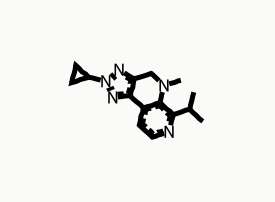 CC(C)c1nccc2c1N(C)Cc1nn(C3CC3)nc1-2